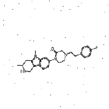 CC1Cc2c(c3ccc(N4CCN(CCc5ccc(F)cc5)CC4=O)cc3n2C)CN1